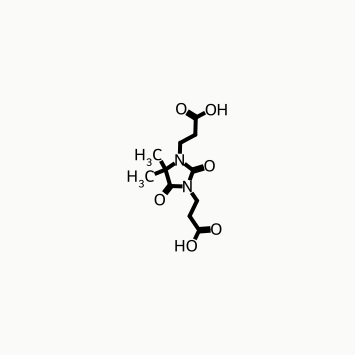 CC1(C)C(=O)N(CCC(=O)O)C(=O)N1CCC(=O)O